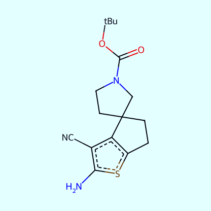 CC(C)(C)OC(=O)N1CCC2(CCc3sc(N)c(C#N)c32)C1